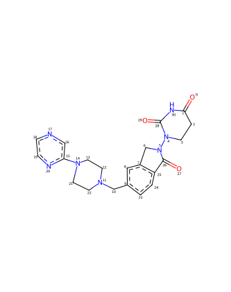 O=C1CCN(N2Cc3cc(CN4CCN(c5cnccn5)CC4)ccc3C2=O)C(=O)N1